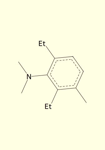 CCc1ccc(C)c(CC)c1N(C)C